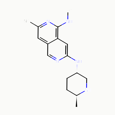 CC(C)Nc1nc(C#N)cc2cnc(N[C@H]3CC[C@H](C)NC3)cc12